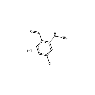 Cl.NNc1cc(Cl)ccc1N=O